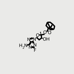 C[C@]1(COC(=O)C23CC4CC(CC(C4)C2)C3)O[C@@H](n2cnc3c(N)nc(F)nc32)C[C@@H]1O